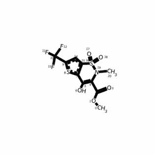 COC(=O)C1=C(O)c2sc(C(F)(F)F)cc2S(=O)(=O)N1C